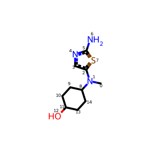 CN(c1cnc(N)s1)C1CCC(O)CC1